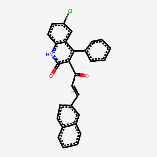 O=C(/C=C/c1ccc2ccccc2c1)c1c(-c2ccccc2)c2cc(Cl)ccc2[nH]c1=O